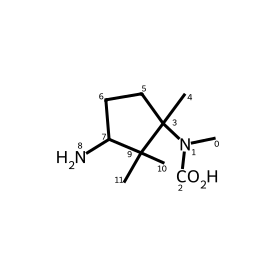 CN(C(=O)O)C1(C)CCC(N)C1(C)C